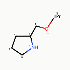 CCCOCC1CCCN1